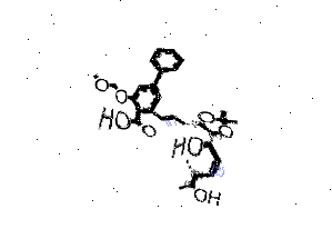 COCOc1cc(-c2ccccc2)cc(/C=C/C[C@@H]2OC(C)(C)O[C@@H]2C(O)/C=C\[C@@H](C)[C@H](C)O)c1C(=O)O